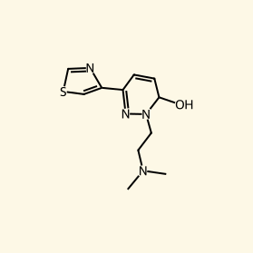 CN(C)CCN1N=C(c2cscn2)C=CC1O